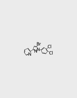 Clc1ccc(-n2nc(-c3ccccn3)cc2Br)cc1Cl